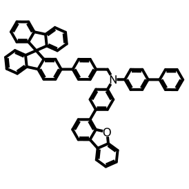 c1ccc(-c2ccc(N(Cc3ccc(-c4ccc5c(c4)C4(c6ccccc6-c6ccccc64)c4ccccc4-5)cc3)c3ccc(-c4cccc5c4oc4ccccc45)cc3)cc2)cc1